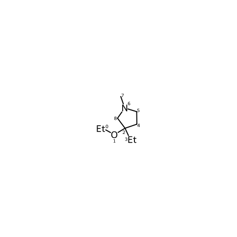 CCOC1(CC)CCN(C)C1